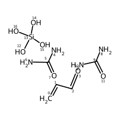 C=CC=O.NC(N)=O.NC(N)=O.O[Si](O)(O)O